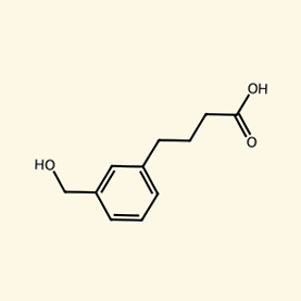 O=C(O)CCCc1cccc(CO)c1